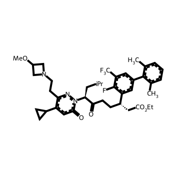 CCOC(=O)C[C@H](CCC(=O)[C@H](CC(C)C)n1nc(CCN2CC(OC)C2)c(C2CC2)cc1=O)c1cc(-c2c(C)cccc2C)cc(C(F)(F)F)c1F